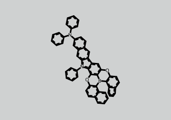 c1ccc(N(c2ccccc2)c2ccc3cc4c5cc6c7c(c5n(-c5ccccc5)c4cc3c2)Oc2ccc3ccccc3c2B7c2c(ccc3ccccc23)O6)cc1